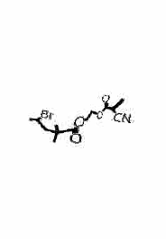 C=C(C#N)C(=O)OCCOC(=O)C(C)(C)CC(C)Br